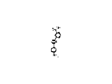 Nc1ccc(-c2csc(-c3cccc(C(=O)O)c3)n2)cc1